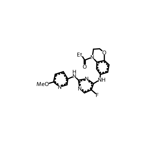 CCC(=O)N1CCOc2ccc(Nc3nc(Nc4ccc(OC)nc4)ncc3F)cc21